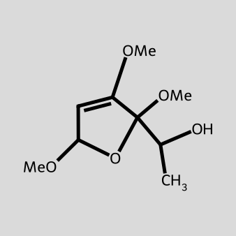 COC1=CC(OC)OC1(OC)C(C)O